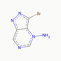 Nn1cncc2nnc(Br)c1-2